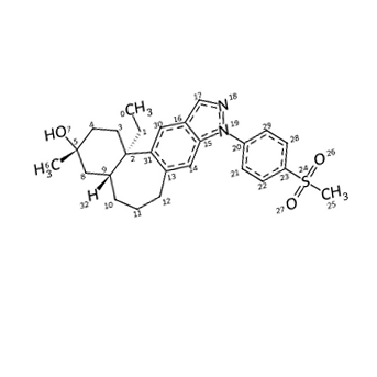 CC[C@@]12CC[C@@](C)(O)C[C@H]1CCCc1cc3c(cnn3-c3ccc(S(C)(=O)=O)cc3)cc12